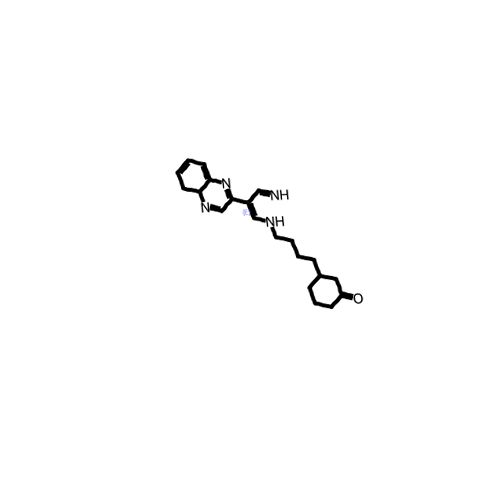 N=C/C(=C\NCCCCC1CCCC(=O)C1)C1=NC2=CC=CCC2N=C1